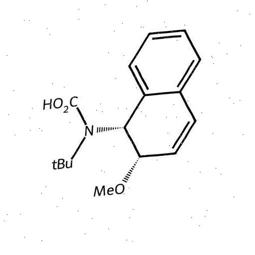 CO[C@H]1C=Cc2ccccc2[C@H]1N(C(=O)O)C(C)(C)C